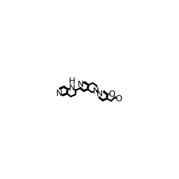 O=C1Cc2cc[n+](N3CCc4cnc(C5CCc6cnccc6N5)cc4C3)cc2O1